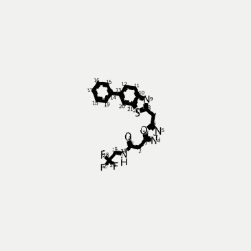 O=C(Cc1nnc(Cc2nc3ccc(-c4ccccc4)cc3s2)o1)NCC(F)(F)F